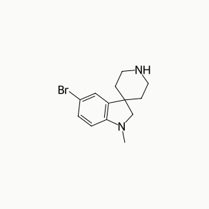 CN1CC2(CCNCC2)c2cc(Br)ccc21